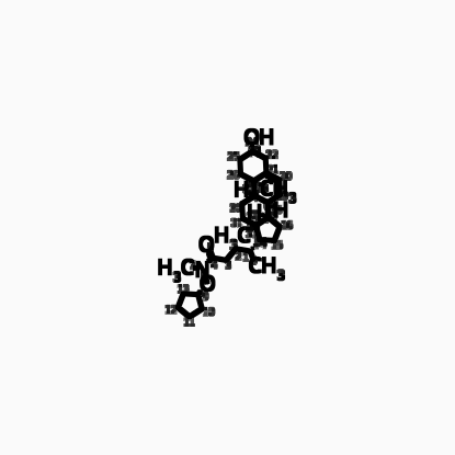 CC(CCC(=O)N(C)OC1CCCC1)[C@H]1CC[C@H]2[C@@H]3CC=C4C[C@@H](O)CC[C@]4(C)[C@H]3CC[C@]12C